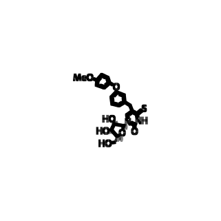 COc1ccc(Oc2cccc(Cc3cn([C@@H]4O[C@H](CO)[C@@H](O)[C@H]4O)c(=O)[nH]c3=S)c2)cc1